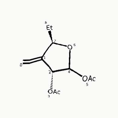 C=C1[C@@H](OC(C)=O)C(OC(C)=O)O[C@@H]1CC